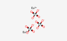 [Eu+3].[Eu+3].[O]=[Cr](=[O])([O-])[O-].[O]=[Cr](=[O])([O-])[O-].[O]=[Cr](=[O])([O-])[O-]